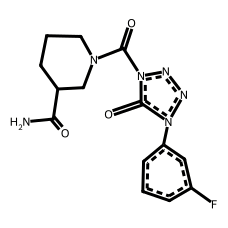 NC(=O)C1CCCN(C(=O)n2nnn(-c3cccc(F)c3)c2=O)C1